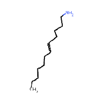 CCCCCCC=CCCCCN